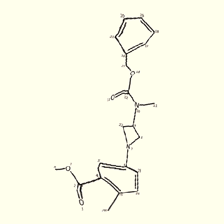 COC(=O)c1cc(N2CC(N(C)C(=O)OCc3ccccc3)C2)ccc1C